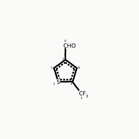 O=Cc1csc(C(F)(F)F)c1